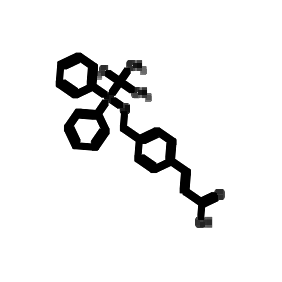 CC(C)(C)[Si](OCc1ccc(C=CC(=O)O)cc1)(c1ccccc1)c1ccccc1